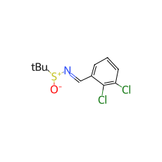 CC(C)(C)[S+]([O-])N=Cc1cccc(Cl)c1Cl